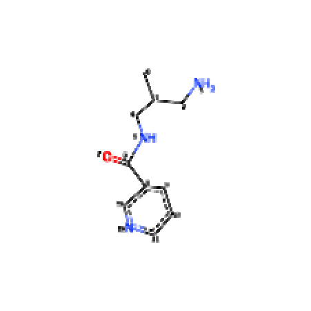 CC(CN)CNC(=O)c1cccnc1